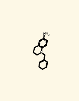 Nc1ccc2c(c1)CCCN2CC1=CCCC=C1